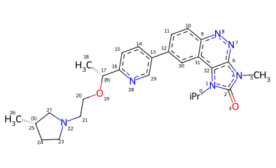 CC(C)n1c(=O)n(C)c2nnc3ccc(-c4ccc([C@@H](C)OCCN5CC[C@H](C)C5)nc4)cc3c21